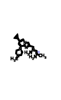 C/C(N)=C/N(N)Cc1cn2cc(C3CC3)cc(N3CCN(C)CC3)c2n1